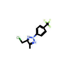 Cc1nn(-c2ccc(C(F)(F)F)cc2)nc1CCl